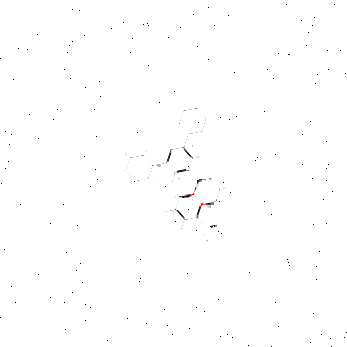 O=S(O)c1c(F)c(F)c(Oc2c(C3CCCCC3)cc(C3CCCCC3)cc2C2CCCCC2)c(F)c1F